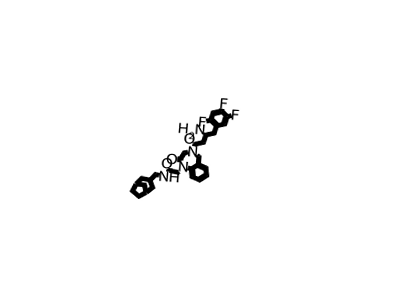 N[C@@H](CC(=O)N1CC(=O)N(CC(=O)NCC2CC3CCC(C3)C2)c2ccccc2C1)Cc1cc(F)c(F)cc1F